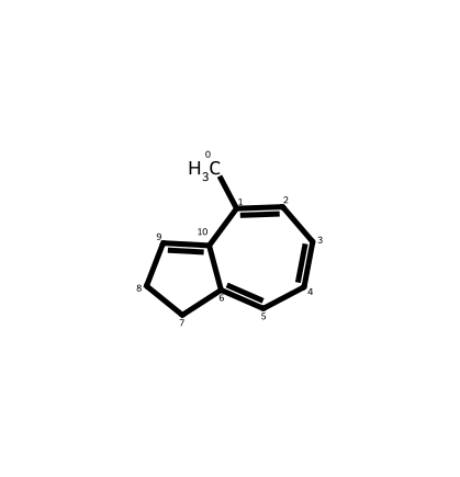 CC1=CC=CC=C2CCC=C12